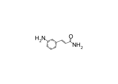 NC(=O)C=Cc1cccc(N)c1